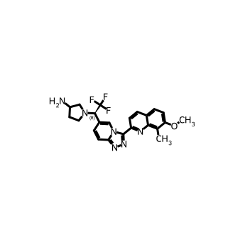 COc1ccc2ccc(-c3nnc4ccc([C@@H](N5CCC(N)C5)C(F)(F)F)cn34)nc2c1C